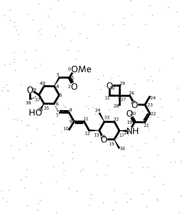 COC(=O)C[C@H]1C[C@H](/C=C/C(C)=C/C[C@@H]2O[C@H](C)[C@H](NC(=O)/C=C\C(C)OCC3(C)COC3)C[C@@H]2C)[C@@H](O)[C@]2(CO2)C1